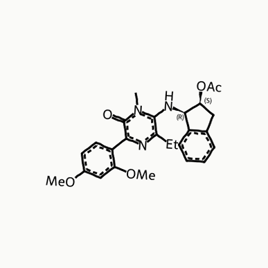 CCc1nc(-c2ccc(OC)cc2OC)c(=O)n(C)c1N[C@@H]1c2ccccc2C[C@@H]1OC(C)=O